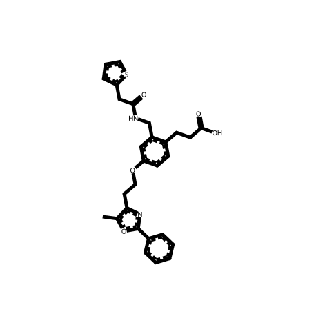 Cc1oc(-c2ccccc2)nc1CCOc1ccc(CCC(=O)O)c(CNC(=O)Cc2cccs2)c1